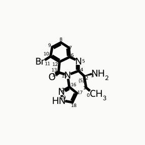 CC[C@H](N)c1nc2cccc(Br)c2c(=O)n1-c1cc[nH]n1